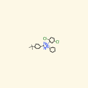 CC(C)(C)c1ccc(-c2nn(-c3cc(Cl)ccc3Cl)[n+](-c3ccccc3)n2)cc1